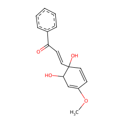 COC1=CC(O)C(O)(C=CC(=O)c2ccccc2)C=C1